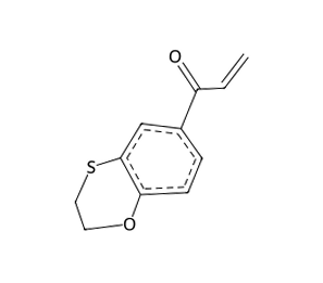 C=CC(=O)c1ccc2c(c1)SCCO2